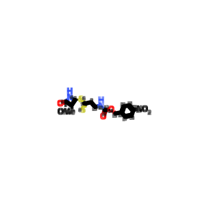 CO[C@H]1C(=O)N[C@@H]1SC(=S)CCNC(=O)OCc1ccc([N+](=O)[O-])cc1